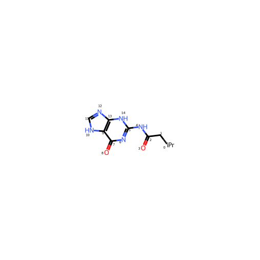 CC(C)CC(=O)Nc1nc(=O)c2[nH]cnc2[nH]1